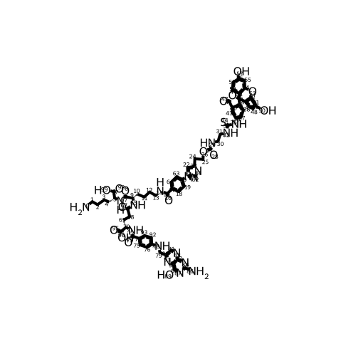 NCCCC[C@@H](NC(=O)[C@H](CCCCNC(=O)c1ccc(-n2cc(CCOC(=O)NCCNC(=S)Nc3ccc4c(c3)C(=O)OC43c4ccc(O)cc4Oc4cc(O)ccc43)nn2)cc1)NC(=O)CC[C@H](NC(=O)c1ccc(NCc2cnc3nc(N)nc(O)c3n2)cc1)C(=O)O)C(=O)O